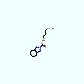 CCCCCCCCCCCCSSC(=S)N1CC2CCCCC2C1